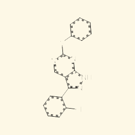 Clc1ccccc1-c1n[nH]c2nc(Sc3ccccc3)ncc12